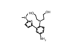 CN(C)c1ccc(-c2cc(N)ccc2N(CCO)CCO)s1